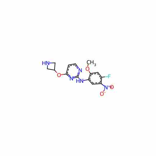 COc1cc(F)c([N+](=O)[O-])cc1Nc1nccc(OC2CNC2)n1